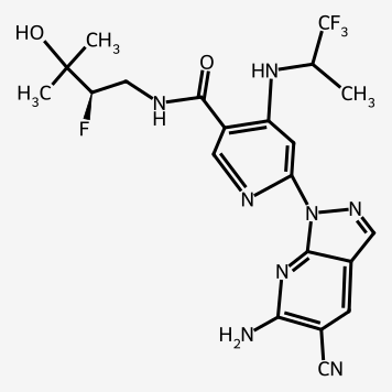 CC(Nc1cc(-n2ncc3cc(C#N)c(N)nc32)ncc1C(=O)NC[C@@H](F)C(C)(C)O)C(F)(F)F